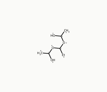 CC[C](OC(C)O)OC(C)O